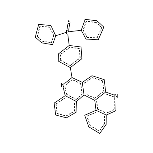 S=P(c1ccccc1)(c1ccccc1)c1ccc(-c2nc3ccccc3c3c2ccc2ncc4ccccc4c23)cc1